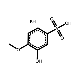 COc1ccc(S(=O)(=O)O)cc1O.[KH]